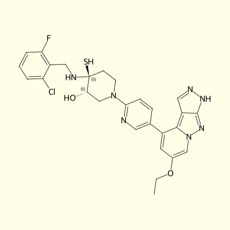 CCOc1cc(-c2ccc(N3CC[C@@](S)(NCc4c(F)cccc4Cl)[C@@H](O)C3)nc2)c2c3cn[nH]c3nn2c1